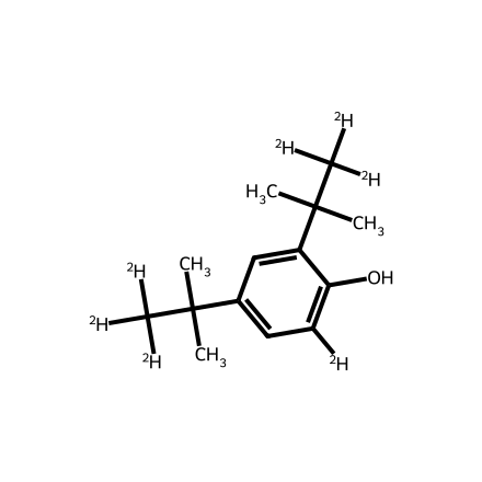 [2H]c1cc(C(C)(C)C([2H])([2H])[2H])cc(C(C)(C)C([2H])([2H])[2H])c1O